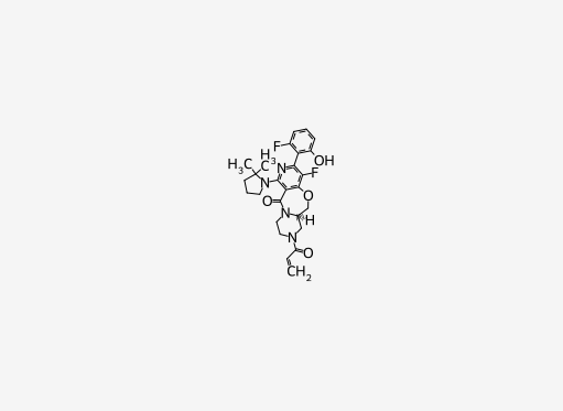 C=CC(=O)N1CCN2C(=O)c3c(N4CCCC4(C)C)nc(-c4c(O)cccc4F)c(F)c3OC[C@H]2C1